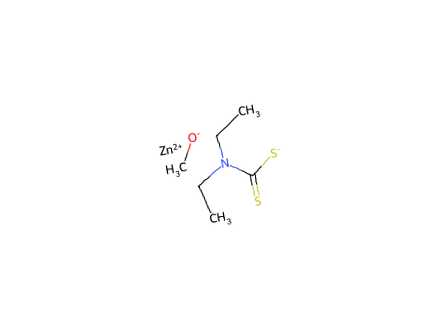 CCN(CC)C(=S)[S-].C[O-].[Zn+2]